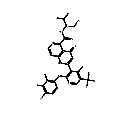 Cc1c(Oc2ncc(C(F)(F)F)c(C)c2-c2cc(=O)c3c(C(=O)N[C@H](CO)C(C)C)nccc3[nH]2)ccc(F)c1F